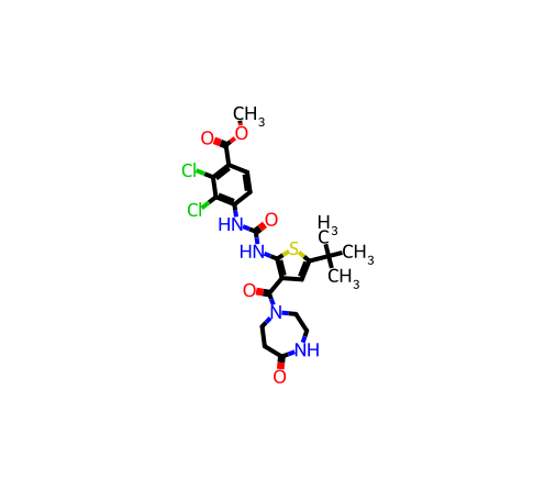 COC(=O)c1ccc(NC(=O)Nc2sc(C(C)(C)C)cc2C(=O)N2CCNC(=O)CC2)c(Cl)c1Cl